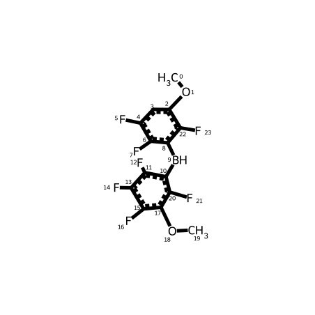 COc1cc(F)c(F)c(Bc2c(F)c(F)c(F)c(OC)c2F)c1F